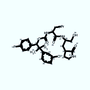 CC(C)CC(NC(=O)OC(c1ccc(F)cc1)C(C)(C)c1cccc(Cl)c1)C(=O)NC(CO)CC1CCNC1=O